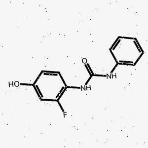 O=C(Nc1ccccc1)Nc1ccc(O)cc1F